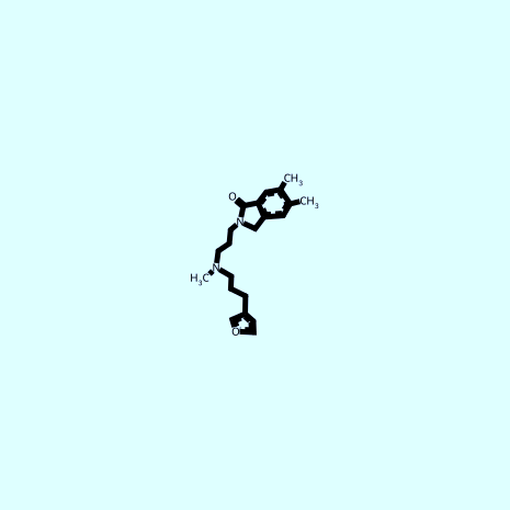 Cc1cc2c(cc1C)C(=O)N(CCCN(C)CCCc1ccoc1)C2